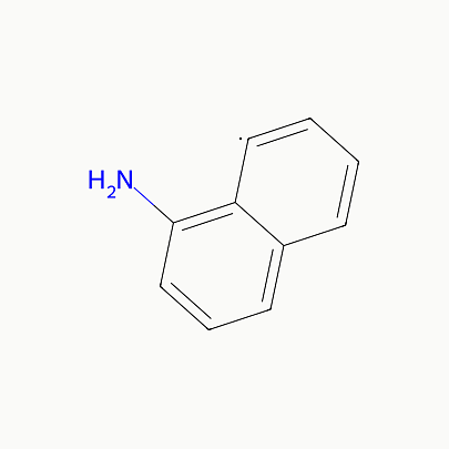 Nc1cccc2ccc[c]c12